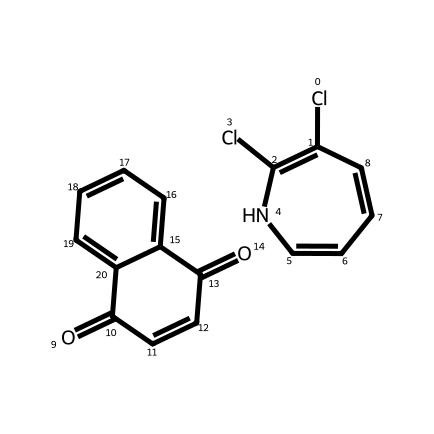 ClC1=C(Cl)NC=CC=C1.O=C1C=CC(=O)c2ccccc21